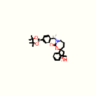 C[C@@H](c1ccc(B2OC(C)(C)C(C)(C)O2)cc1)N1CCCC(CC(C)(C)O)(c2ccccc2)OC1=O